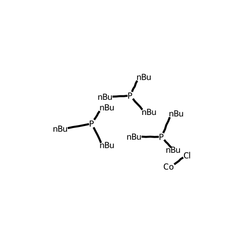 CCCCP(CCCC)CCCC.CCCCP(CCCC)CCCC.CCCCP(CCCC)CCCC.[Cl][Co]